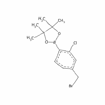 CC1(C)OB(c2ccc(CBr)cc2Cl)OC1(C)C